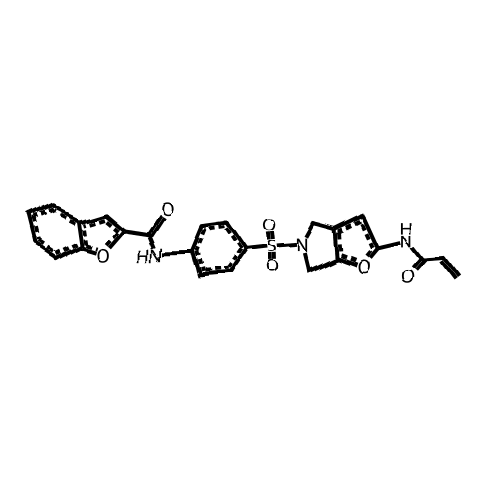 C=CC(=O)Nc1cc2c(o1)CN(S(=O)(=O)c1ccc(NC(=O)c3cc4ccccc4o3)cc1)C2